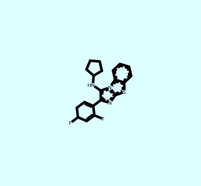 FC1=CC(F)CC=C1c1nc2sc3ccccc3n2c1NC1CCCC1